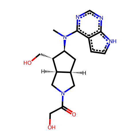 CN(c1ncnc2[nH]ccc12)[C@H]1C[C@H]2CN(C(=O)CO)C[C@H]2[C@@H]1CO